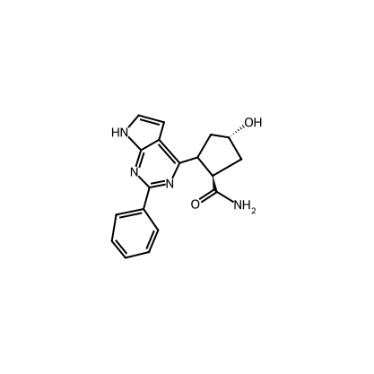 NC(=O)[C@@H]1C[C@@H](O)CC1c1nc(-c2ccccc2)nc2[nH]ccc12